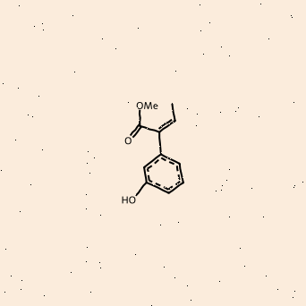 CC=C(C(=O)OC)c1cccc(O)c1